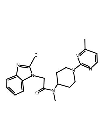 Cc1ccnc(N2CCC(N(C)C(=O)Cn3c(Cl)nc4ccccc43)CC2)n1